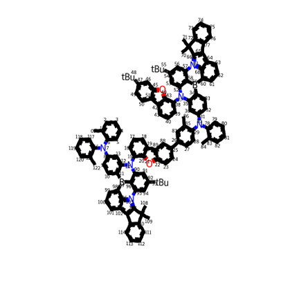 Cc1ccccc1N(c1ccc2c(c1)N(c1cccc3c1oc1ccc(-c4ccc(N(c5ccc6c(c5)N(c5cccc7c5oc5cc(C(C)(C)C)ccc57)c5cc(C(C)(C)C)cc7c5B6c5cccc6c8c(n-7c56)C(C)(C)c5ccccc5-8)c5ccccc5C)c(C)c4)cc13)c1cc(C(C)(C)C)cc3c1B2c1cccc2c4c(n-3c12)C(C)(C)c1ccccc1-4)c1ccccc1C